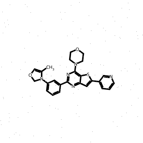 CC1=COCN1c1cccc(-c2nc(N3CCOCC3)c3sc(-c4cccnc4)cc3n2)c1